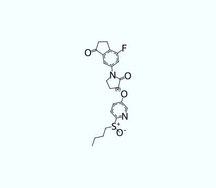 CCCC[S+]([O-])c1ccc(O[C@@H]2CCN(c3cc(F)c4c(c3)C(=O)CC4)C2=O)cn1